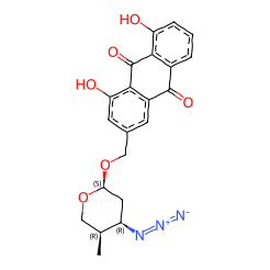 C[C@H]1CO[C@@H](OCc2cc(O)c3c(c2)C(=O)c2cccc(O)c2C3=O)C[C@H]1N=[N+]=[N-]